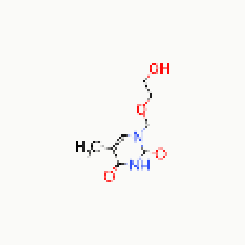 Cc1cn(COCCO)c(=O)[nH]c1=O